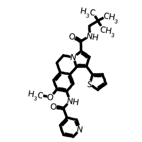 COc1cc2c(cc1NC(=O)c1cccnc1)-c1c(-c3cccs3)cc(C(=O)NCC(C)(C)C)n1CC2